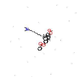 CCN(CC)CCCCCCCCCCC[C@@H]1Cc2cc(OC(=O)c3ccccc3)ccc2[C@H]2CC[C@]3(C)[C@@H](OC(C)=O)CC[C@H]3[C@H]12